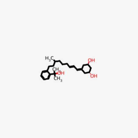 CC(CCCC=CC=C1C[C@@H](O)C[C@H](O)C1)CCc1ccccc1C(C)(C)O